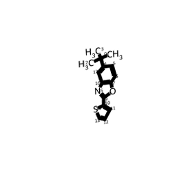 CC(C)(C)c1ccc2oc(-c3cccs3)nc2c1